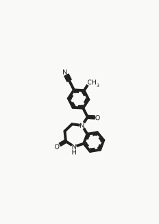 Cc1cc(C(=O)N2CCC(=O)Nc3ccccc32)ccc1C#N